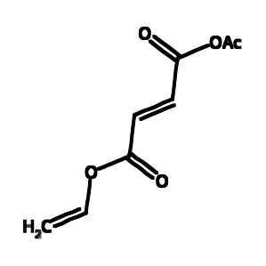 C=COC(=O)/C=C/C(=O)OC(C)=O